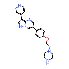 c1cc(-c2cnn3cc(-c4ccc(OCCN5CCNCC5)cc4)cnc23)ccn1